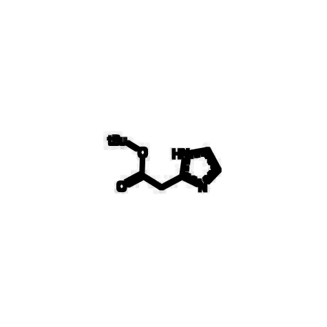 CC(C)(C)OC(=O)Cc1ncc[nH]1